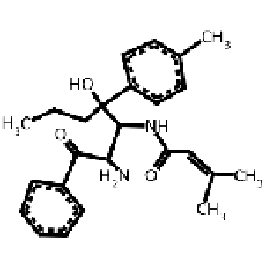 CCCC(O)(c1ccc(C)cc1)C(NC(=O)C=C(C)C)C(N)C(=O)c1ccccc1